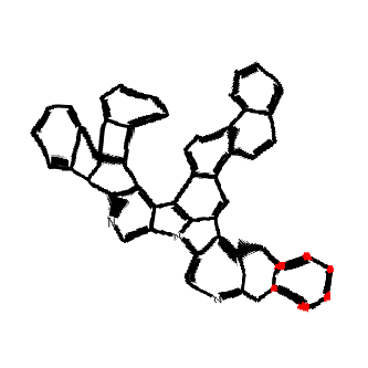 c1ccc2c(c1)C1c3ccccc3C2c2c1ncc1c2c2cc3c4ccc5ccccc5c4ccc3c3c4c5c(ncc4n1c23)C1c2ccccc2C12c1ccccc1C52